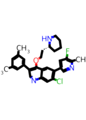 [CH2]c1ncc(-c2cc3c(OCC[C@H]4CCCCN4)c(-c4cc(C)cc(C)c4)cnc3cc2Cl)cc1F